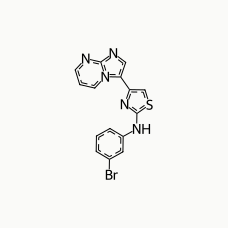 Brc1cccc(Nc2nc(-c3cnc4ncccn34)cs2)c1